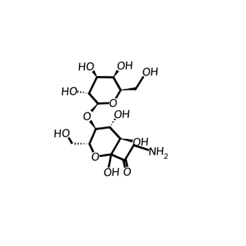 NCC(=O)C1(O)O[C@H](CO)[C@@H](O[C@@H]2O[C@H](CO)[C@H](O)[C@H](O)[C@H]2O)[C@H](O)[C@H]1O